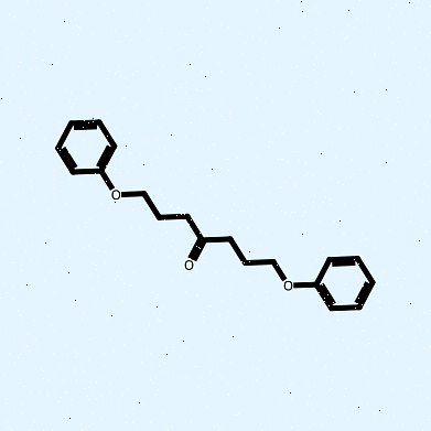 O=C(CCCOc1ccccc1)CCCOc1ccccc1